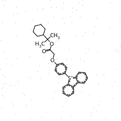 CC(C)(OC(=O)COc1ccc(-[s+]2c3ccccc3c3ccccc32)cc1)C1CCCCC1